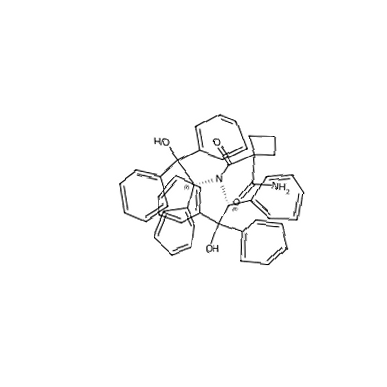 NC(=O)C1(C(=O)N([C@H](c2ccccc2)C(O)(c2ccccc2)c2ccccc2)[C@H](c2ccccc2)C(O)(c2ccccc2)c2ccccc2)CCC1